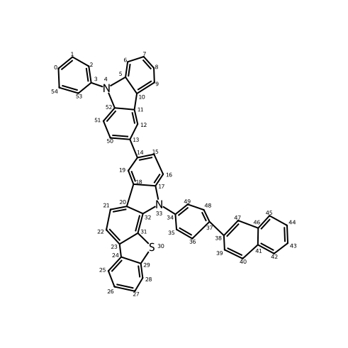 c1ccc(-n2c3ccccc3c3cc(-c4ccc5c(c4)c4ccc6c7ccccc7sc6c4n5-c4ccc(-c5ccc6ccccc6c5)cc4)ccc32)cc1